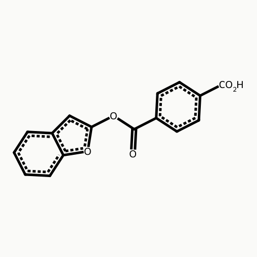 O=C(O)c1ccc(C(=O)Oc2cc3ccccc3o2)cc1